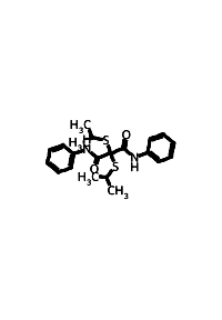 CC(C)SC(SC(C)C)(C(=O)Nc1ccccc1)C(=O)Nc1ccccc1